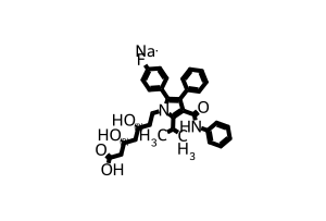 CC(C)c1c(C(=O)Nc2ccccc2)c(-c2ccccc2)c(-c2ccc(F)cc2)n1CC[C@@H](O)C[C@@H](O)CC(=O)O.[Na]